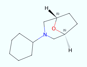 C1CCC(N2C[C@@H]3CC[C@@H](C2)O3)CC1